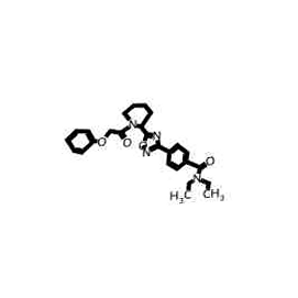 CCN(CC)C(=O)c1ccc(-c2noc(C3CCCCN3C(=O)COc3ccccc3)n2)cc1